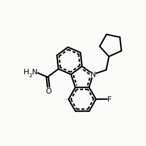 NC(=O)c1cccc2c1c1[c]ccc(F)c1n2CC1CCCC1